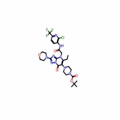 CCc1c(N2CCN(C(=O)OC(C)(C)C)CC2)c(=O)n2nc(N3CCOCC3)nc2n1CC(=O)Nc1ccc(C(F)(F)F)nc1Cl